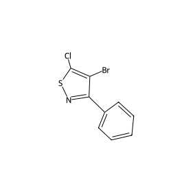 Clc1snc(-c2ccccc2)c1Br